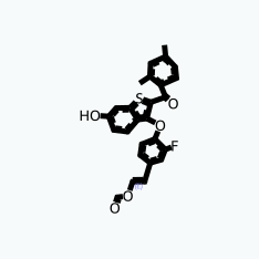 Cc1ccc(C(=O)c2sc3cc(O)ccc3c2Oc2ccc(/C=C/OC=O)cc2F)c(C)c1